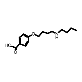 CCCCNCCCCOc1ccc(C(=O)O)cc1